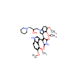 COc1ccc2[nH]cc(C3=C(c4cn(CC(O)CN5CCCCC5)c5ccc(OC)c(OC)c45)C(=O)NC3=O)c2c1OC